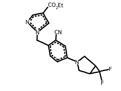 CCOC(=O)c1cnn(Cc2ccc(N3CC4C(C3)C4(F)F)cc2C#N)c1